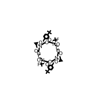 CN1C(=O)COC(=O)[C@H](CC2CC2)N(C)C(=O)[C@@H](Cc2ccc(C(C)(C)C)cc2)OC(=O)[C@H](CC(C)(C)F)N(C)C(=O)COC(=O)[C@H](CC2CC2)N(C)C(=O)[C@@H](Cc2ccc(C(C)(C)C)cc2)OC(=O)[C@@H]1CC(C)(C)F